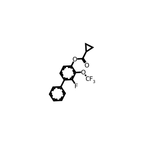 O=C(Oc1ccc(-c2ccccc2)c(F)c1OC(F)(F)F)C1CC1